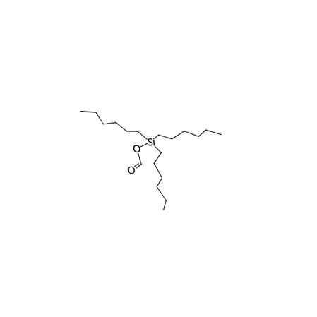 CCCCCC[Si](CCCCCC)(CCCCCC)OC=O